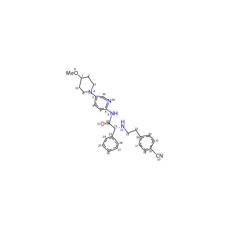 COC1CCN(c2ccc(NC(=O)[C@H](NCCc3ccc(C#N)cc3)c3ccccc3)nc2)CC1